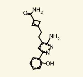 NC(=O)C12CC(CCc3cc(-c4ccccc4O)nnc3N)(C1)C2